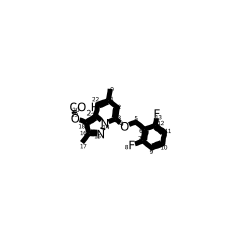 Cc1cc(OCc2c(F)cccc2F)n2nc(C)c(OC(=O)O)c2c1